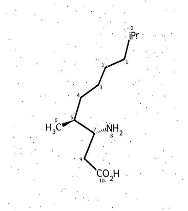 CC(C)CCCC[C@H](C)[C@H](N)CC(=O)O